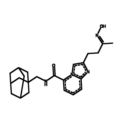 CC(CCc1cn2c(C(=O)NCC34CC5CC(CC(C5)C3)C4)cccc2n1)=NO